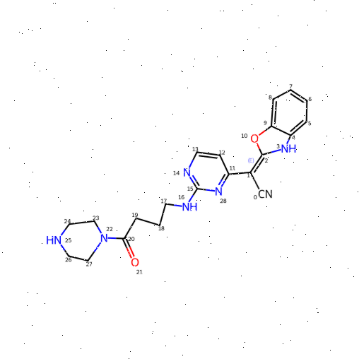 N#C/C(=C1\Nc2ccccc2O1)c1ccnc(NCCCC(=O)N2CCNCC2)n1